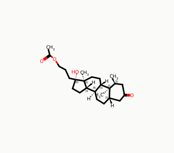 CC(=O)OCCC[C@]1(O)CC[C@H]2[C@@H]3CC[C@H]4CC(=O)C[C@H](C)[C@]4(C)[C@H]3CC[C@@]21C